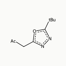 CC(=O)Cc1nnc(C(C)(C)C)o1